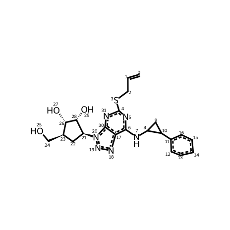 C=CCSc1nc(NC2CC2c2ccccc2)c2nnn([C@H]3C[C@@H](CO)[C@H](O)[C@@H]3O)c2n1